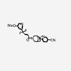 COc1cncc(C(F)(F)/C=C/C(=O)N2CC3C[C@H](C)C(C2)N3c2ccc(C#N)cn2)c1